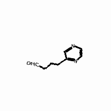 O=CCCCc1cnccn1